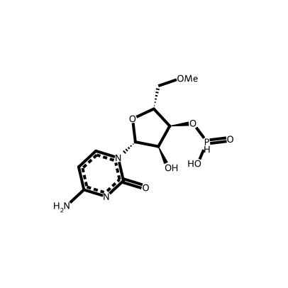 COC[C@H]1O[C@@H](n2ccc(N)nc2=O)[C@H](O)[C@@H]1O[PH](=O)O